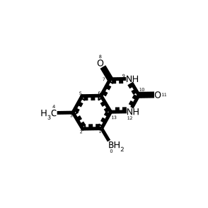 Bc1cc(C)cc2c(=O)[nH]c(=O)[nH]c12